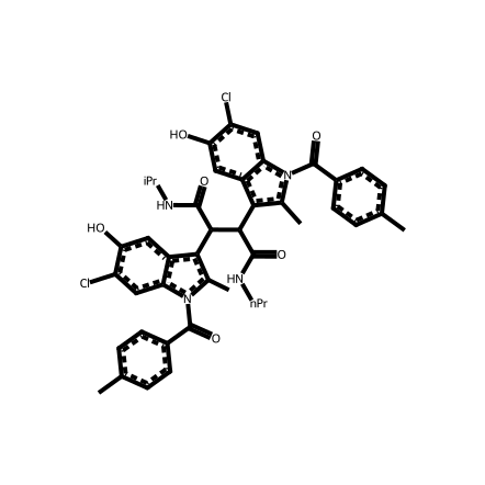 CCCNC(=O)C(c1c(C)n(C(=O)c2ccc(C)cc2)c2cc(Cl)c(O)cc12)C(C(=O)NC(C)C)c1c(C)n(C(=O)c2ccc(C)cc2)c2cc(Cl)c(O)cc12